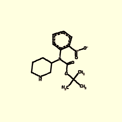 CC(C)(C)OC(=O)N(c1ccccc1[N+](=O)[O-])C1CCCNC1